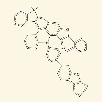 CC1(C)c2ccccc2-c2c(-c3ccccc3N(c3ccc(-c4ccc5c(c4)oc4ccccc45)cc3)c3cccc4oc5c6ccccc6ccc5c34)cccc21